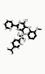 COc1ccccc1Oc1c(Cl)nc(-c2ccccn2)nc1NS(=O)(=O)c1ccc(C(C)C)cn1